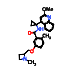 COc1cc(C2(NC(=O)c3cc(OCC4CCN4C)ccc3C)CC2)c2ccccc2n1